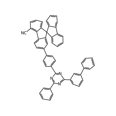 N#Cc1cccc2c1-c1ccc(-c3ccc(-c4nc(-c5ccccc5)nc(-c5cccc(-c6ccccc6)c5)n4)cc3)cc1C21c2ccccc2-c2ccccc21